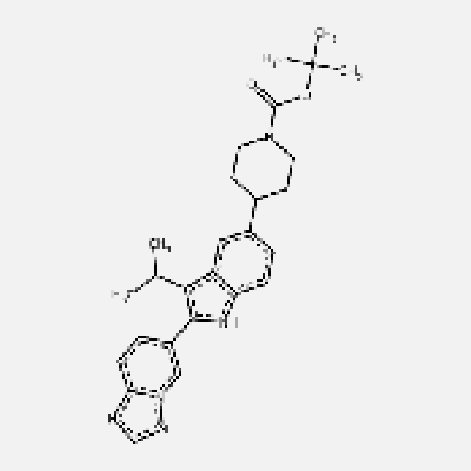 CC(C)c1c(-c2ccc3ncnn3c2)[nH]c2ccc(C3CCN(C(=O)OC(C)(C)C)CC3)cc12